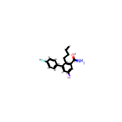 CCCCc1c(C(N)=O)cc(I)cc1-c1ccc(F)cc1